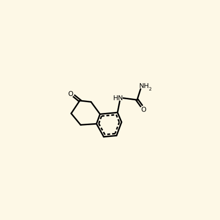 NC(=O)Nc1cccc2c1CC(=O)CC2